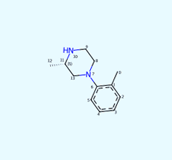 Cc1ccccc1N1CCN[C@@H](C)C1